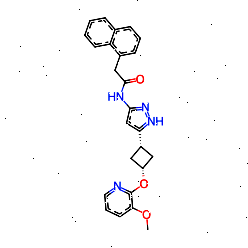 COc1cccnc1O[C@H]1C[C@@H](c2cc(NC(=O)Cc3cccc4ccccc34)n[nH]2)C1